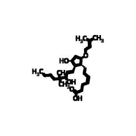 CCCCC(C)(C)C(O)/C=C/[C@@H]1[C@@H](CC/C=C\CCC(=O)O)[C@H](OCC=C(C)C)C[C@H]1O